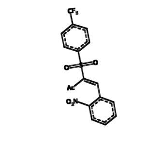 CC(=O)C(=Cc1ccccc1[N+](=O)[O-])S(=O)(=O)c1ccc(C(F)(F)F)cc1